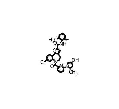 Cc1cccc(F)c1NC(=O)c1cc2c(s1)-c1ccc(Cl)cc1N(C(=O)c1cccc(N3C[C@H](O)C[C@@H]3C)n1)CC2